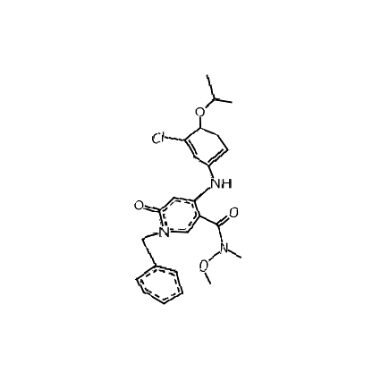 CON(C)C(=O)c1cn(Cc2ccccc2)c(=O)cc1NC1=CCC(OC(C)C)C(Cl)=C1